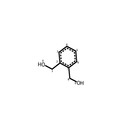 OCc1ccccc1CO